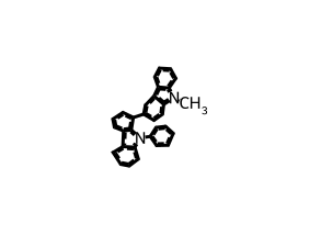 Cn1c2ccccc2c2cc(-c3cccc4c5ccccc5n(-c5ccccc5)c34)ccc21